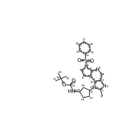 Cc1nc2cnc3c(ccn3S(=O)(=O)c3ccccc3)c2n1C1CCC(NC(=O)OC(C)(C)C)C1